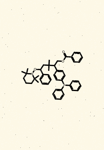 CC(C)(CC(ON1C(C)(C)CCCC1(C)C)c1ccccc1)C(COC(=O)c1ccccc1)c1ccc(P(c2ccccc2)c2ccccc2)cc1